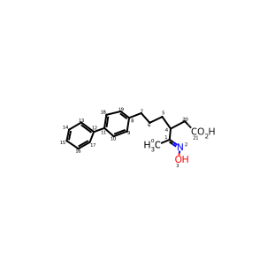 C/C(=N\O)C(CCCc1ccc(-c2ccccc2)cc1)CC(=O)O